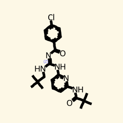 CC(C)(C)CN/C(=N/C(=O)c1ccc(Cl)cc1)Nc1cccc(NC(=O)C(C)(C)C)n1